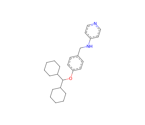 c1cc(NCc2ccc(OC(C3CCCCC3)C3CCCCC3)cc2)ccn1